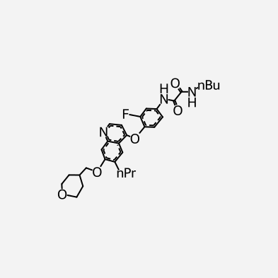 CCCCNC(=O)C(=O)Nc1ccc(Oc2ccnc3cc(OCC4CCOCC4)c(CCC)cc23)c(F)c1